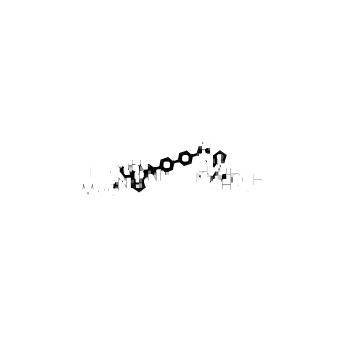 COCN[C@H](C(=O)N1CCCC1c1ncc(-c2ccc(-c3ccc(-c4cnc([C@@H]5CCCN5C[C@H](NC(=O)O)[C@H](C)O)[nH]4)cc3)cc2)[nH]1)[C@H](C)O